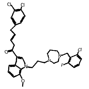 COc1cccc2c(C(=O)C/C=C/Cc3ccc(Cl)c(Cl)c3)cn(CCCN3CCCN(Cc4c(F)cccc4Cl)CC3)c12